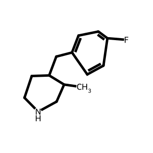 CC1CNCCC1Cc1ccc(F)cc1